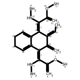 BN/C(C(=C)OS)=c1\c2c(c(=C(\NB)C(=C)OS)/c(=C\C)c1=C)=CCCC=2